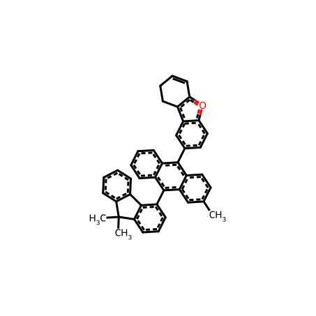 Cc1ccc2c(-c3ccc4oc5c(c4c3)CCC=C5)c3ccccc3c(-c3cccc4c3-c3ccccc3C4(C)C)c2c1